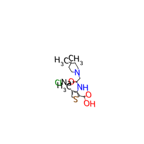 Cc1csc(C(=O)O)c1NC(=O)CN1CCC(C)(C)CC1.[Cl-].[Na+]